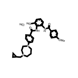 COc1ccc(C(=O)Nc2cccc(O)c2NC(=O)c2ccc(N3CCCN(CC4CC4)CC3)cc2)cc1.Cl